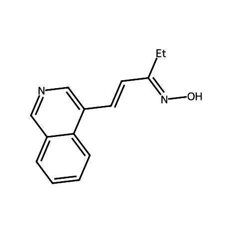 CCC(C=Cc1cncc2ccccc12)=NO